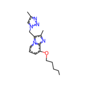 CCCCCOc1cccn2c(Cn3cc(C)nn3)c(C)nc12